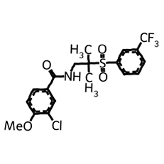 COc1ccc(C(=O)NCC(C)(C)S(=O)(=O)c2cccc(C(F)(F)F)c2)cc1Cl